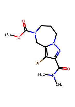 CN(C)C(=O)c1nn2c(c1Br)CN(C(=O)OC(C)(C)C)CCC2